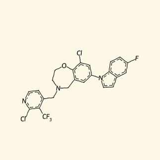 Fc1ccc2c(ccn2-c2cc(Cl)c3c(c2)CN(Cc2ccnc(Cl)c2C(F)(F)F)CCO3)c1